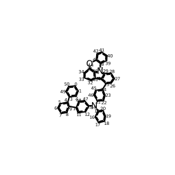 c1ccc(-c2ccccc2-c2ccc(N(c3ccccc3)c3ccc(-c4cccc5c4c4cccc6c4n5-c4ccccc4O6)cc3)cc2)cc1